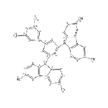 N#Cc1ccc2c(c1)c1cc(C#N)ccc1n2-c1cc(-c2cc(C(F)(F)F)cc(C(F)(F)F)c2)cc(-n2c3ccc(C#N)cc3c3cc(C#N)ccc32)n1